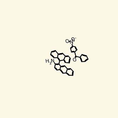 Nc1ccc2cc3ccccc3cc2c1-c1c2ccccc2cc2ccccc12.O=C(c1ccccc1)c1ccc([N+](=O)[O-])cc1